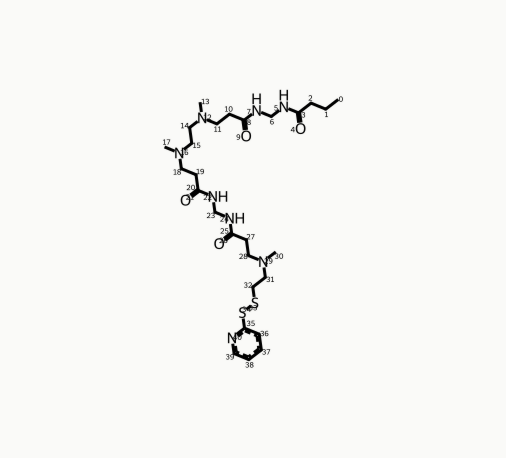 CCCC(=O)NCNC(=O)CCN(C)CCN(C)CCC(=O)NCNC(=O)CCN(C)CCSSc1ccccn1